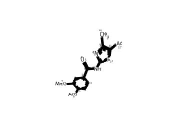 COc1cc(C(=O)Nc2nc(C)c(C(C)=O)s2)ccc1OC(C)=O